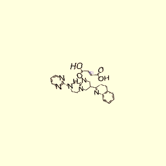 NCC(CN1CCN(c2ncccn2)CC1)C1=Nc2ccccc2CC1.O=C(O)/C=C/C(=O)O